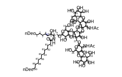 CCCCCCCCCCCCC/C=C/[C@@H](O)[C@H](CO[C@@H]1OC(CO)[C@@H](O[C@@H]2OC(CO[C@@H]3OC(CO)[C@@H](O[C@@H]4OC(CO)[C@H](O)[C@H](O)C4O)[C@H](O)C3NC(C)=O)[C@H](O)[C@H](O[C@@H]3OC(CO)[C@@H](O[C@@H]4OC(CO)[C@H](O)[C@H](O)C4O)[C@H](O)C3NC(C)=O)C2O)[C@H](O)C1O)NC(=O)CCCCCCCCCCCCCCCCCCCCC